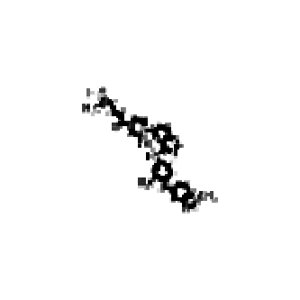 Cc1cc(Nc2ncnc3ccc(N4CCN(C(=O)/C=C/CN(C)C)CC4C)nc23)ccc1Cc1ccc2c(c1)ncn2C